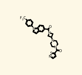 O=C(c1ccc2c(ccn2-c2ccc(C(F)(F)F)cc2)c1)N1CC(N2CCN(C(=O)c3ccns3)CC2)C1